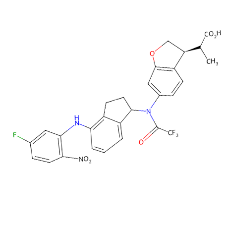 CC(C(=O)O)[C@@H]1COc2cc(N(C(=O)C(F)(F)F)C3CCc4c(Nc5cc(F)ccc5[N+](=O)[O-])cccc43)ccc21